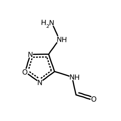 NNc1nonc1NC=O